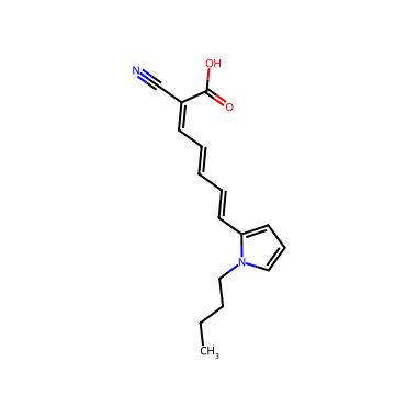 CCCCn1cccc1C=CC=CC=C(C#N)C(=O)O